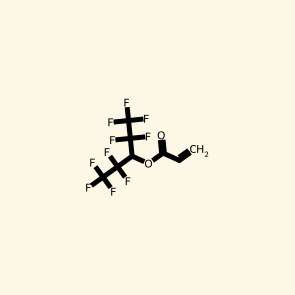 C=CC(=O)OC(C(F)(F)C(F)(F)F)C(F)(F)C(F)(F)F